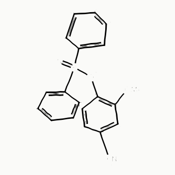 COc1cc(C#N)ccc1OP(=S)(c1ccccc1)c1ccccc1